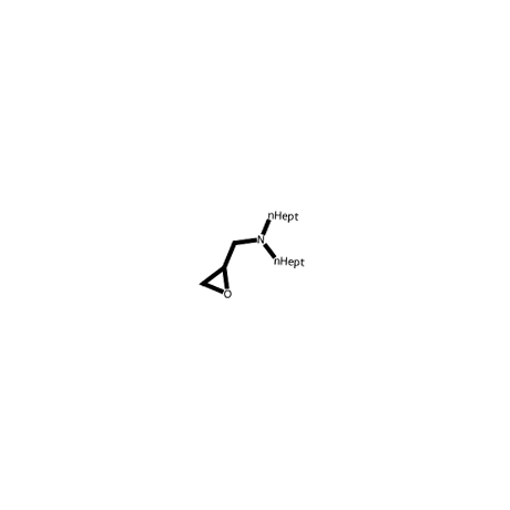 CCCCCCCN(CCCCCCC)CC1CO1